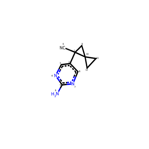 N#CC1(c2cnc(N)nc2)CC12CC2